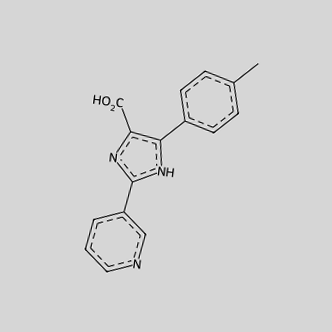 Cc1ccc(-c2[nH]c(-c3cccnc3)nc2C(=O)O)cc1